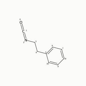 O=C=NCCc1cc[c]cc1